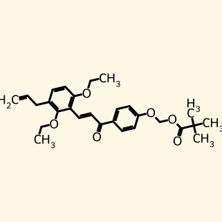 C=CCc1ccc(OCC)c(/C=C/C(=O)c2ccc(OCOC(=O)C(C)(C)C)cc2)c1OCC